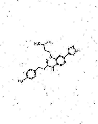 Cc1ccc(COC(=O)Nc2ccc(-c3cn[nH]c3)cc2OCCN(C)C)cc1